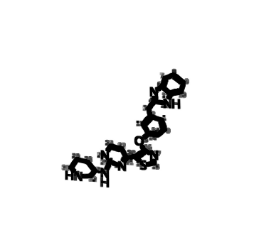 c1cc(Cc2nc3ccccc3[nH]2)cc(Oc2ncsc2-c2ccnc(N[C@H]3CCCNC3)n2)c1